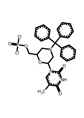 Cc1cn(C2CN(C(c3ccccc3)(c3ccccc3)c3ccccc3)CC(COP(=O)(Cl)Cl)O2)c(=O)[nH]c1=O